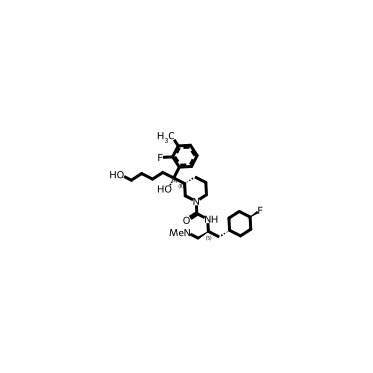 CNC[C@H](C[C@H]1CC[C@H](F)CC1)NC(=O)N1CCC[C@@H]([C@@](O)(CCCCO)c2cccc(C)c2F)C1